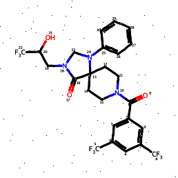 O=C(c1cc(C(F)(F)F)cc(C(F)(F)F)c1)N1CCC2(CC1)C(=O)N(CC(O)C(F)(F)F)CN2c1ccccc1